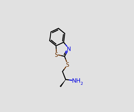 C[C@H](N)CSc1nc2ccccc2s1